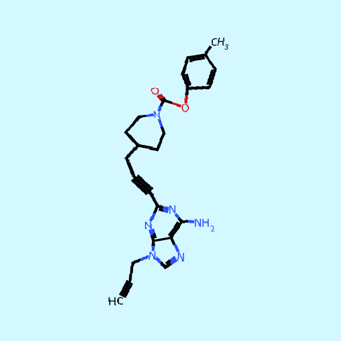 C#CCn1cnc2c(N)nc(C#CCC3CCN(C(=O)Oc4ccc(C)cc4)CC3)nc21